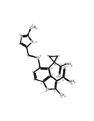 Cc1ncc(COc2ccc3oc(C)c(C(N)=O)c3c2C2(C(N)=O)CC2)s1